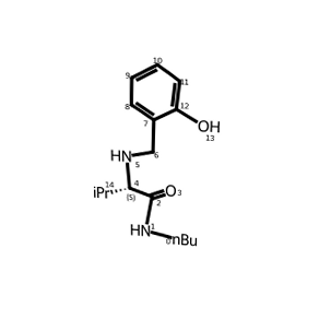 CCCCNC(=O)[C@@H](NCc1ccccc1O)C(C)C